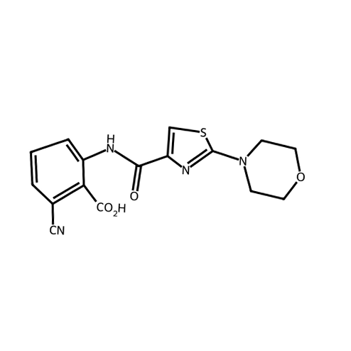 N#Cc1cccc(NC(=O)c2csc(N3CCOCC3)n2)c1C(=O)O